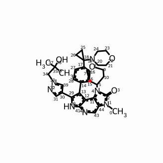 Cn1c(=O)n(C2CCOCC2)c2c3c(-c4ccc(C5(N6CCOCC6)CC5)cc4)c(-c4cnn(CC(C)(C)O)c4)[nH]c3ncc21